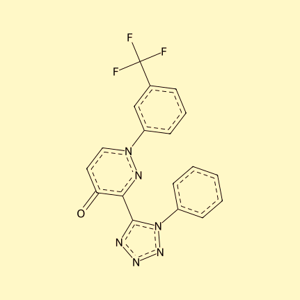 O=c1ccn(-c2cccc(C(F)(F)F)c2)nc1-c1nnnn1-c1ccccc1